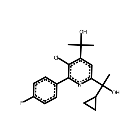 CC(C)(O)c1cc(C(C)(O)C2CC2)nc(-c2ccc(F)cc2)c1Cl